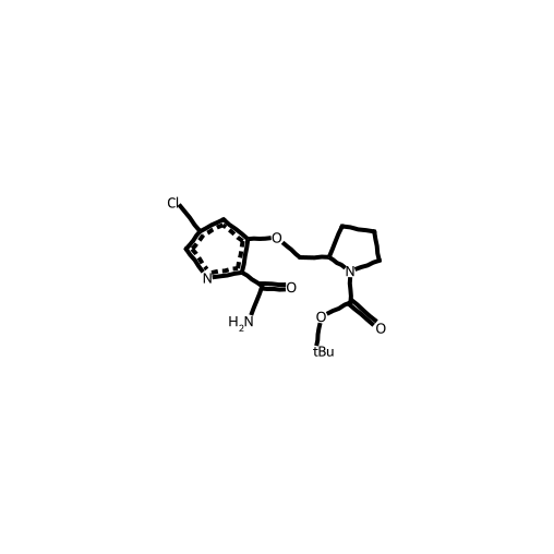 CC(C)(C)OC(=O)N1CCCC1COc1cc(Cl)cnc1C(N)=O